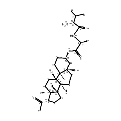 CC(=O)[C@H]1CC[C@H]2[C@@H]3CC[C@H]4C[C@H](OC(=O)[C@H](C)NC(=O)[C@H](N)C(C)C)CC[C@]4(C)[C@H]3CC[C@]12C